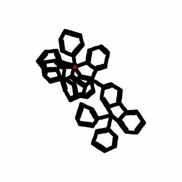 c1ccc(C2(c3ccccc3)c3ccccc3-c3ccc(N(c4ccccc4C4(c5ccccc5)c5ccccc5-c5ccccc54)c4cccc5c4oc4ccccc45)cc32)cc1